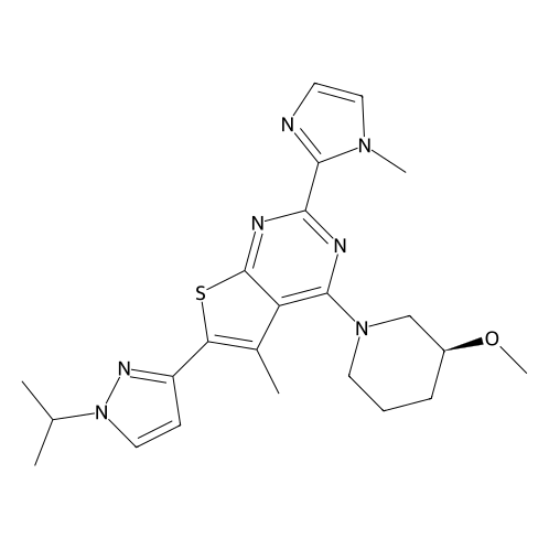 CO[C@H]1CCCN(c2nc(-c3nccn3C)nc3sc(-c4ccn(C(C)C)n4)c(C)c23)C1